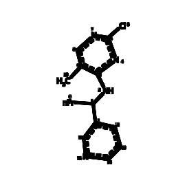 CCCC(Nc1nc(Cl)ncc1C)c1cccnc1